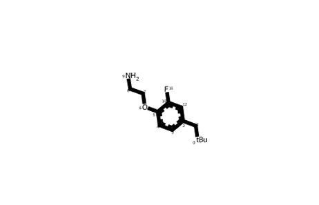 CC(C)(C)Cc1ccc(OCCN)c(F)c1